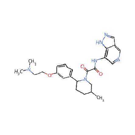 CC1CCC(c2cccc(OCCN(C)C)c2)N(C(=O)C(=O)Nc2cncc3cn[nH]c23)C1